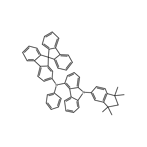 CC1(C)CC(C)(C)c2cc(-n3c4ccccc4c4c(N(c5ccccc5)c5ccc6c(c5)C5(c7ccccc7-c7ccccc75)c5ccccc5-6)cccc43)ccc21